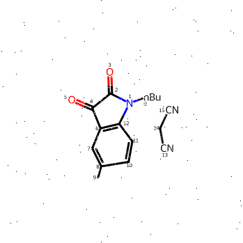 CCCCN1C(=O)C(=O)c2cc(C)ccc21.N#CCC#N